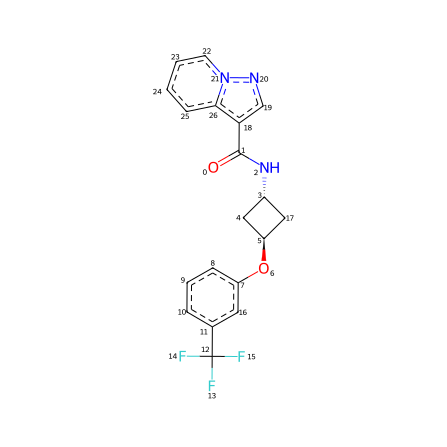 O=C(N[C@H]1C[C@H](Oc2cccc(C(F)(F)F)c2)C1)c1cnn2ccccc12